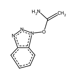 C=C(N)On1nnc2ccccc21